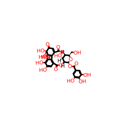 O=C1O[C@H]2[C@H](O)[C@@H](OC(=O)c3cc(O)c(O)c4c3[C@@H]3C1=CC(=O)[C@@](O)(O4)C3(O)O)[C@H](OC(=O)c1cc(O)c(O)c(O)c1)O[C@@H]2CO